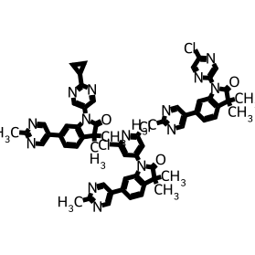 Cc1ncc(-c2ccc3c(c2)N(c2cc(Cl)nc(Cl)c2)C(=O)C3(C)C)cn1.Cc1ncc(-c2ccc3c(c2)N(c2cnc(C4CC4)nc2)C(=O)C3(C)C)cn1.Cc1ncc(-c2ccc3c(c2)N(c2cnc(Cl)cn2)C(=O)C3(C)C)cn1